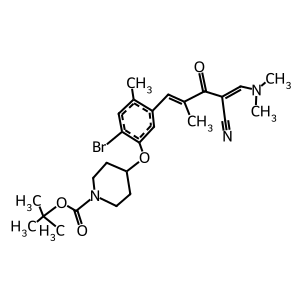 C/C(=C\c1cc(OC2CCN(C(=O)OC(C)(C)C)CC2)c(Br)cc1C)C(=O)/C(C#N)=C/N(C)C